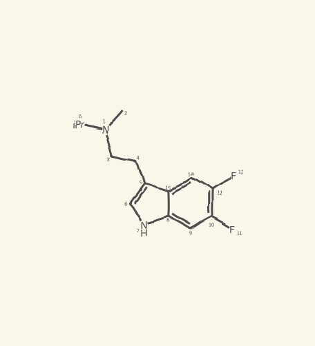 CC(C)N(C)CCc1c[nH]c2cc(F)c(F)cc12